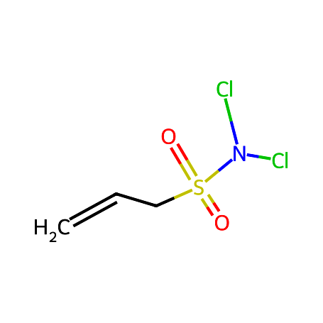 C=CCS(=O)(=O)N(Cl)Cl